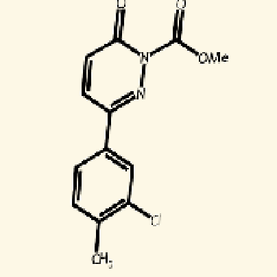 COC(=O)n1nc(-c2ccc(C)c(Cl)c2)ccc1=O